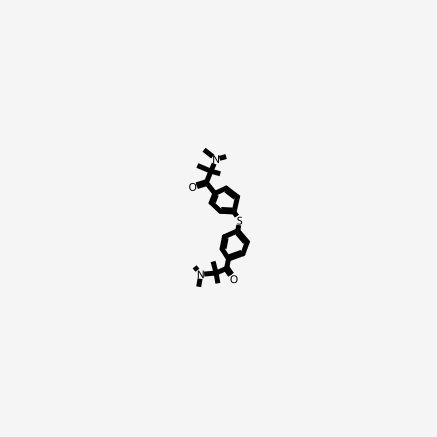 CN(C)C(C)(C)C(=O)c1ccc(Sc2ccc(C(=O)C(C)(C)N(C)C)cc2)cc1